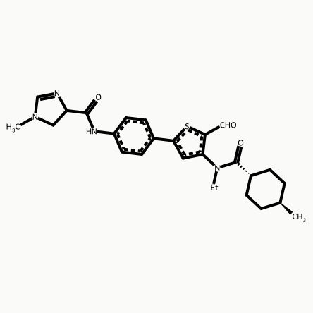 CCN(c1cc(-c2ccc(NC(=O)C3CN(C)C=N3)cc2)sc1C=O)C(=O)[C@H]1CC[C@H](C)CC1